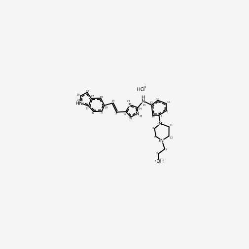 Cl.OCCN1CCN(c2cccc(Nc3ncc(C=Cc4ccc5[nH]ccc5c4)s3)c2)CC1